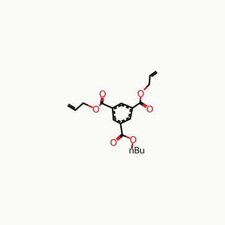 C=CCOC(=O)c1cc(C(=O)OCC=C)cc(C(=O)OCCCC)c1